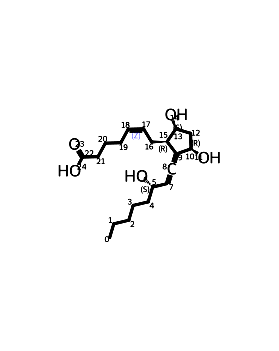 CCCCC[C@H](O)C=C=C1[C@H](O)C[C@H](O)[C@@H]1C/C=C\CCCC(=O)O